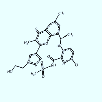 Cc1cc([C@@H](C)Nc2ccc(Cl)nc2C(=O)NS(C)(=O)=O)c2oc(-c3cnn(CCO)c3)c(C)c(=O)c2c1